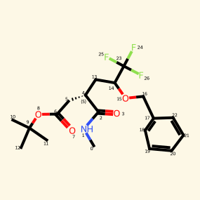 CNC(=O)[C@H](CC(=O)OC(C)(C)C)CC(OCc1ccccc1)C(F)(F)F